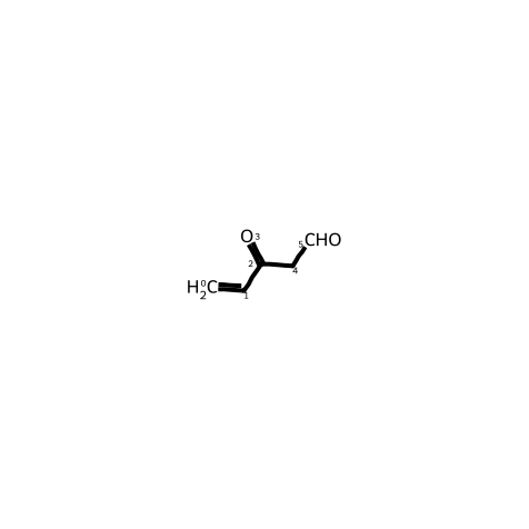 C=CC(=O)CC=O